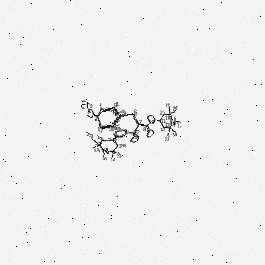 CCOc1ccc(C=C(C(=O)OC2CC(C)(C)N(C)C(C)(C)C2)C(=O)OC2CC(C)(C)N(C)C(C)(C)C2)cc1